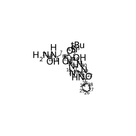 CC(C)(C)[Si](C)(C)OC1[C@@H](CCNC(N)O)O[C@@H](n2cnc3c(NC(=O)c4ccccc4)ncnc32)[C@H]1O